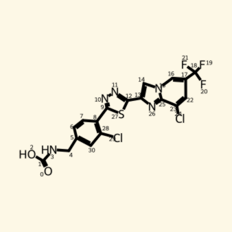 O=C(O)NCc1ccc(-c2nnc(-c3cn4cc(C(F)(F)F)cc(Cl)c4n3)s2)c(Cl)c1